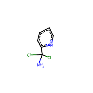 NC(Cl)(Cl)c1ccccn1